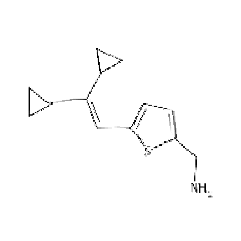 NCc1ccc(C=C(C2CC2)C2CC2)s1